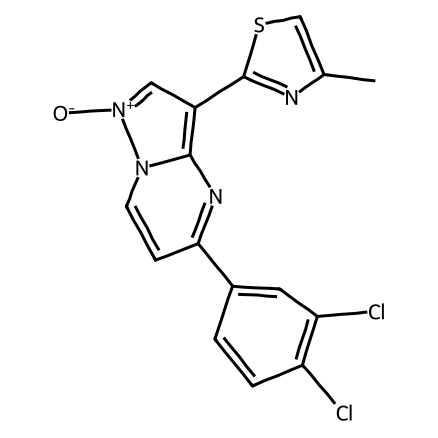 Cc1csc(-c2c[n+]([O-])n3ccc(-c4ccc(Cl)c(Cl)c4)nc23)n1